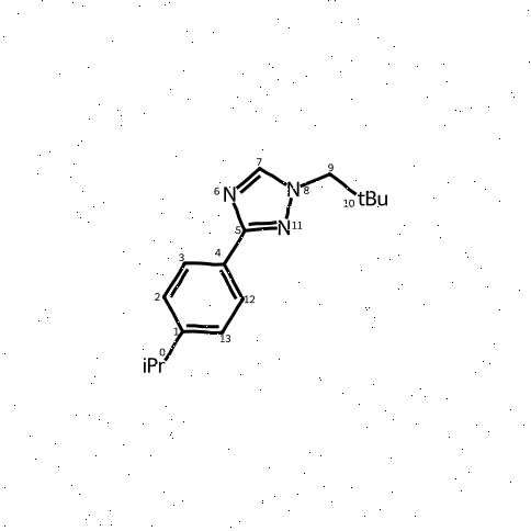 CC(C)c1ccc(-c2ncn(CC(C)(C)C)n2)cc1